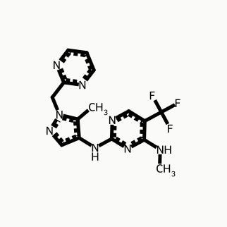 CNc1nc(Nc2cnn(Cc3ncccn3)c2C)ncc1C(F)(F)F